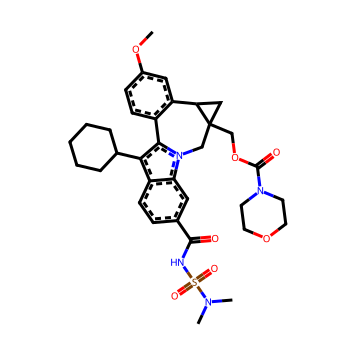 COc1ccc2c(c1)C1CC1(COC(=O)N1CCOCC1)Cn1c-2c(C2CCCCC2)c2ccc(C(=O)NS(=O)(=O)N(C)C)cc21